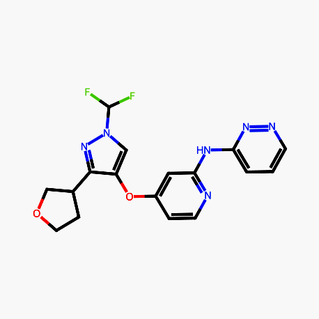 FC(F)n1cc(Oc2ccnc(Nc3cccnn3)c2)c(C2CCOC2)n1